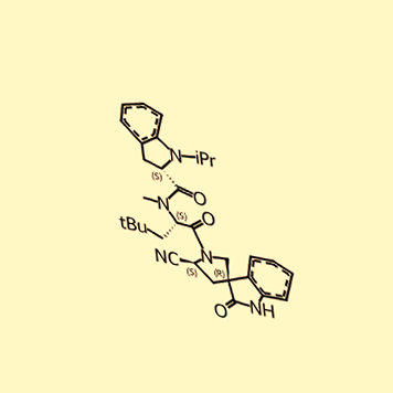 CC(C)N1c2ccccc2C[C@H]1C(=O)N(C)[C@@H](CC(C)(C)C)C(=O)N1C[C@]2(C[C@H]1C#N)C(=O)Nc1ccccc12